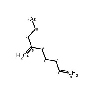 C=CCCCC(=C)CCC(C)=O